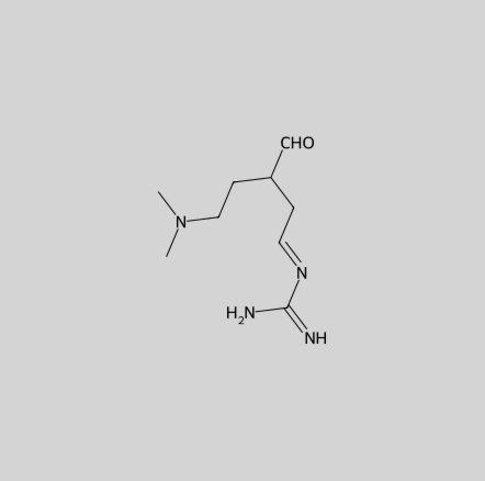 CN(C)CCC(C=O)CC=NC(=N)N